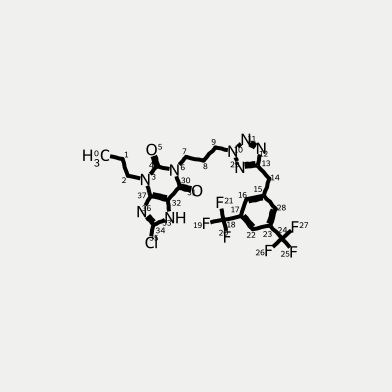 CCCn1c(=O)n(CCCn2nnc(Cc3cc(C(F)(F)F)cc(C(F)(F)F)c3)n2)c(=O)c2[nH]c(Cl)nc21